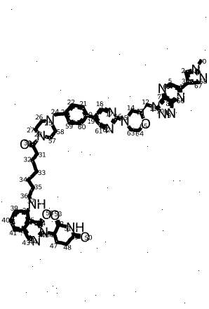 Cn1cc(-c2cnc3c(nnn3C[C@@H]3CN(c4ncc(-c5ccc(CN6CCN(C(=O)CCCCCCNc7cccc8cnn(C9CCC(=O)NC9=O)c(=O)c78)CC6)cc5)cn4)CCO3)n2)cn1